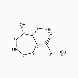 CC(C)C[C@H]1[C@@H](O)CNCCN1C(=O)OC(C)(C)C